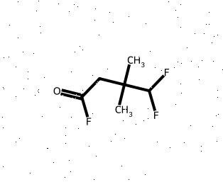 CC(C)(CC(=O)F)C(F)F